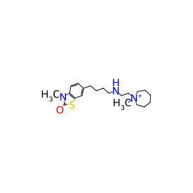 Cn1c(=O)sc2cc(CCCCNCC[N+]3(C)CCCCCC3)ccc21